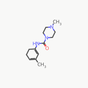 CC1=CCCC(NC(=O)N2CCN(C)CC2)=C1